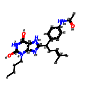 CCCCn1c(=O)[nH]c(=O)c2[nH]c(C(CC=C(C)C)c3ccc(NC(C)=O)cc3)nc21